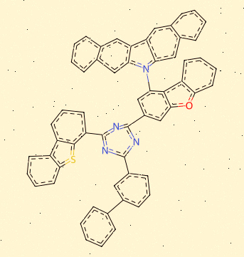 c1ccc(-c2cccc(-c3nc(-c4cc(-n5c6cc7ccccc7cc6c6cc7ccccc7cc65)c5c(c4)oc4ccccc45)nc(-c4cccc5c4sc4ccccc45)n3)c2)cc1